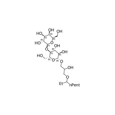 CCCCCC(CC)OCC(O)CO[C@@H]1O[C@H](CO)[C@@H](O[C@@H]2O[C@H](CO)[C@H](O)[C@H](O)[C@H]2O)[C@H](O)[C@H]1O